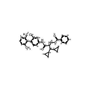 Cc1ccnc(C)c1-c1ccc(NC(=O)[C@@H](NOC(=O)c2ccccc2)C(C2CC2)C2CC2)nc1Cl